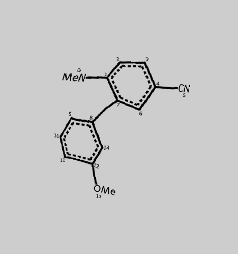 CNc1ccc(C#N)cc1-c1cccc(OC)c1